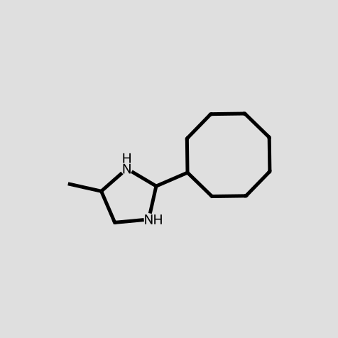 CC1CNC(C2CCCCCCC2)N1